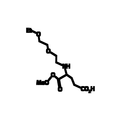 CCOCCOCCNC(CCC(=O)O)C(=O)OOC